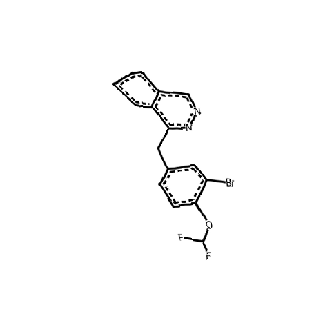 FC(F)Oc1ccc(Cc2nncc3ccccc23)cc1Br